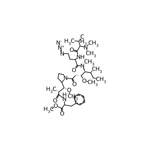 CC[C@H](C)[C@@H]([C@@H](CC(=O)N1CCCC1[C@H](OC)[C@@H](C)C(=O)NC(Cc1ccccc1)C(=O)OC)OC)N(C)C(=O)C(CCN=[N+]=[N-])NC(=O)C(C(C)C)N(C)C